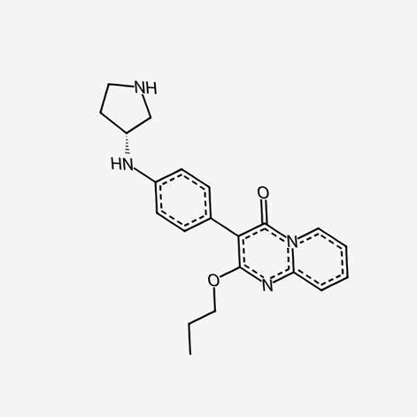 CCCOc1nc2ccccn2c(=O)c1-c1ccc(N[C@@H]2CCNC2)cc1